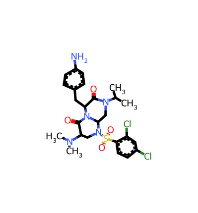 CC(C)N1CC2N(C(=O)C(N(C)C)CN2S(=O)(=O)c2ccc(Cl)cc2Cl)C(Cc2ccc(N)cc2)C1=O